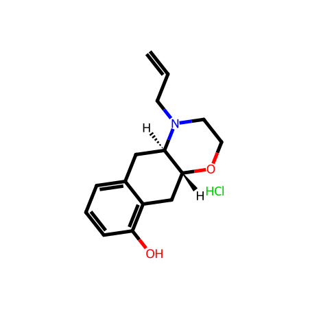 C=CCN1CCO[C@@H]2Cc3c(O)cccc3C[C@H]21.Cl